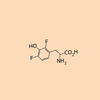 NC(Cc1ccc(F)c(O)c1F)C(=O)O